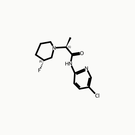 C[C@@H](C(=O)Nc1ccc(Cl)cn1)N1CCC[C@@H](F)C1